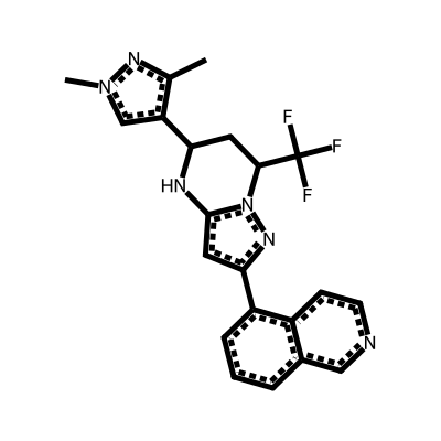 Cc1nn(C)cc1C1CC(C(F)(F)F)n2nc(-c3cccc4cnccc34)cc2N1